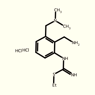 CCSC(=N)Nc1cccc(CN(C)C)c1CN.Cl.Cl